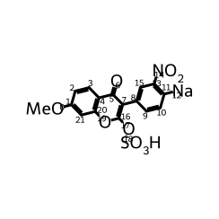 COc1ccc2c(=O)c(-c3cc[c]([Na])c([N+](=O)[O-])c3)c(OS(=O)(=O)O)oc2c1